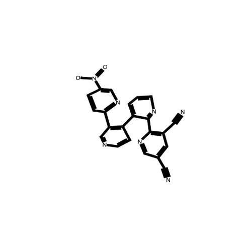 N#Cc1cnc(-c2ncccc2-c2ccn[c]c2-c2ccc([N+](=O)[O-])cn2)c(C#N)c1